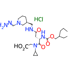 Cl.NN=CN1CCC[C@@H](CNC(=O)C[C@H](NC(=O)OCC2CCCCC2)C(=O)N(CC(=O)O)C2CC2)C1